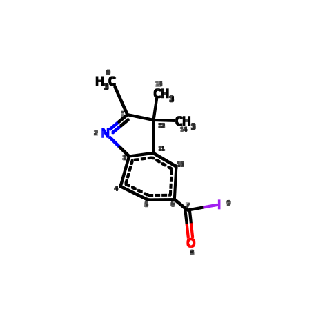 CC1=Nc2ccc(C(=O)I)cc2C1(C)C